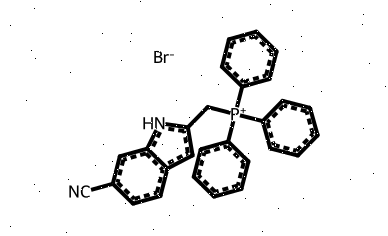 N#Cc1ccc2cc(C[P+](c3ccccc3)(c3ccccc3)c3ccccc3)[nH]c2c1.[Br-]